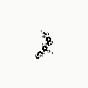 C=CC(=O)Nc1ccc2ncnc(Nc3ccc(Oc4ccc5nccn5n4)c(C)c3)c2c1